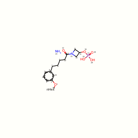 CCCCCCOc1cccc(CCCCC(=O)N2CC(OP(=O)(O)O)C2)c1.N